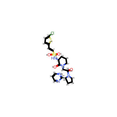 O=C1[C@@H](NS(=O)(=O)/C=C/c2ccc(Cl)s2)CCCN1CC(=O)N1CCC[C@H]1c1ncccn1